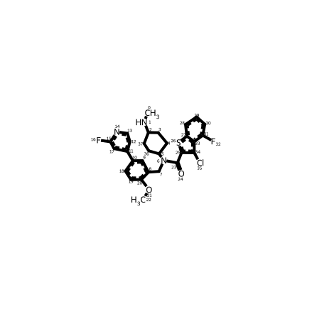 CNC1CCC(N(Cc2cc(-c3ccnc(F)c3)ccc2OC)C(=O)c2sc3cccc(F)c3c2Cl)CC1